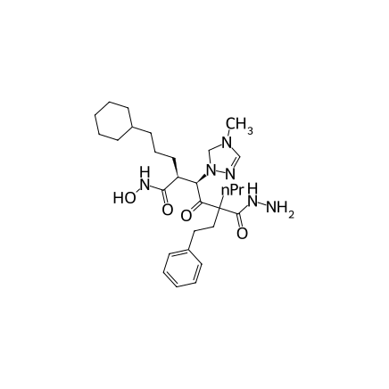 CCCC(CCc1ccccc1)(C(=O)NN)C(=O)[C@@H]([C@H](CCCC1CCCCC1)C(=O)NO)N1CN(C)C=N1